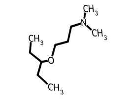 CCC(CC)OCCCN(C)C